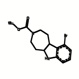 CC(C)(C)OC(=O)N1CCC2Nc3cccc(Br)c3C2CC1